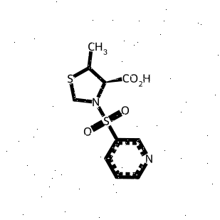 CC1SCN(S(=O)(=O)c2cccnc2)[C@@H]1C(=O)O